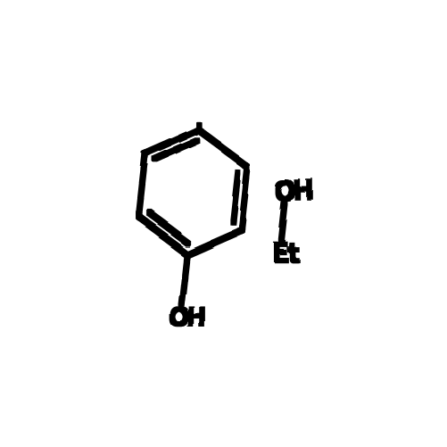 CCO.Oc1cc[c]cc1